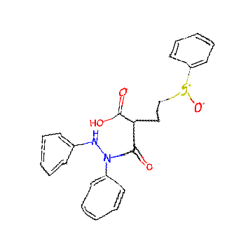 O=C(O)C(CC[S+]([O-])c1ccccc1)C(=O)N(Nc1ccccc1)c1ccccc1